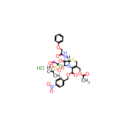 CC(=O)OCC1=C(C(=O)OCc2ccc([N+](=O)[O-])cc2)N2C(=O)[C@@](NC(=O)COc3ccccc3)(OC(Cl)(I=O)S(=O)(=O)C(C)C)[C@H]2SC1.Cl